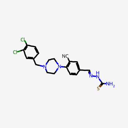 N#Cc1cc(C=NNC(N)=S)ccc1N1CCN(Cc2ccc(Cl)c(Cl)c2)CC1